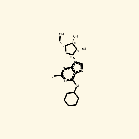 OC[C@H]1O[C@@H](n2cnc3c(NC4CCCCC4)nc(Cl)nc32)[C@@H](O)[C@H]1O